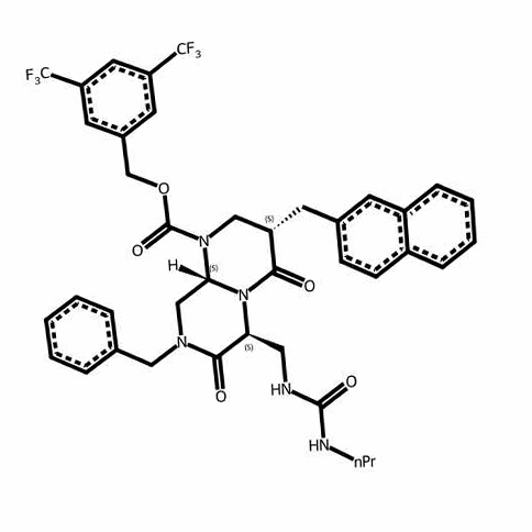 CCCNC(=O)NC[C@H]1C(=O)N(Cc2ccccc2)C[C@@H]2N(C(=O)OCc3cc(C(F)(F)F)cc(C(F)(F)F)c3)C[C@H](Cc3ccc4ccccc4c3)C(=O)N21